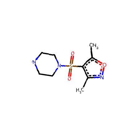 Cc1noc(C)c1S(=O)(=O)N1CC[N]CC1